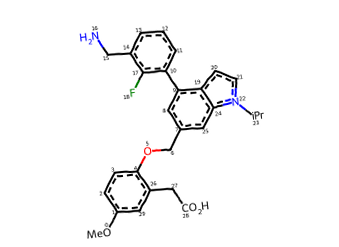 COc1ccc(OCc2cc(-c3cccc(CN)c3F)c3ccn(C(C)C)c3c2)c(CC(=O)O)c1